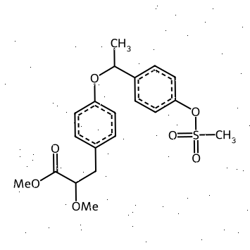 COC(=O)C(Cc1ccc(OC(C)c2ccc(OS(C)(=O)=O)cc2)cc1)OC